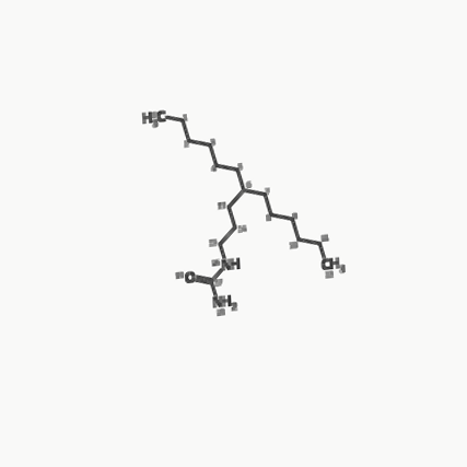 CCCCCCC(CCCCCC)CCCNC(N)=O